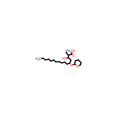 CCCCCCCCCCCC(CC(O)C(CC)C(=O)O)OC1CCCCO1